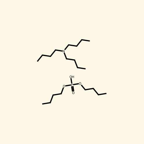 CCCCN(CCCC)CCCC.CCCCOP(=O)(O)OCCCC